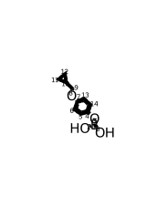 OB(O)Oc1ccc(OCC2CC2)cc1